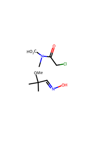 CN(C(=O)O)C(=O)CCl.COC(C)(C)C=NO